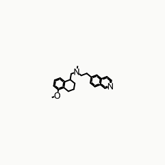 COc1cccc2c1CCCC2CN(C)CCc1ccc2cnccc2c1